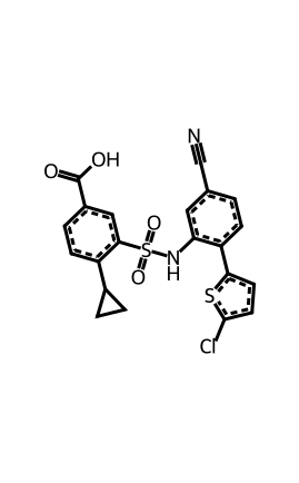 N#Cc1ccc(-c2ccc(Cl)s2)c(NS(=O)(=O)c2cc(C(=O)O)ccc2C2CC2)c1